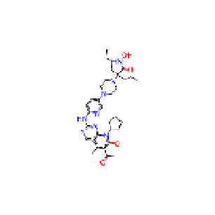 CCCCC(CCC)(C(=O)NO)N1CCN(c2ccc(Nc3ncc4c(C)c(C(C)=O)c(=O)n(C5CCCC5)c4n3)nc2)CC1